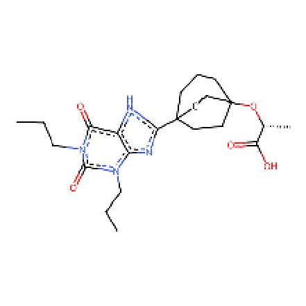 CCCn1c(=O)c2[nH]c(C34CCCC(O[C@H](C)C(=O)O)(CC3)CC4)nc2n(CCC)c1=O